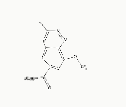 COC(=O)c1cc(OC(F)(F)F)c2nnc(C)cc2c1